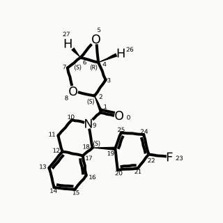 O=C([C@@H]1C[C@H]2O[C@H]2CO1)N1CCc2ccccc2[C@@H]1c1ccc(F)cc1